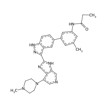 CCC(=O)Nc1cc(C)cc(-c2ccc3[nH]nc(-c4nc5c(N6CCN(C)CC6)cncc5[nH]4)c3c2)c1